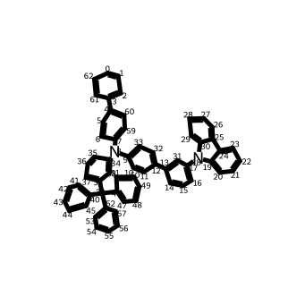 c1ccc(-c2ccc(N(c3ccc(-c4cccc(-n5c6ccccc6c6ccccc65)c4)cc3)c3cccc(C(c4ccccc4)(c4ccccc4)c4ccccc4)c3)cc2)cc1